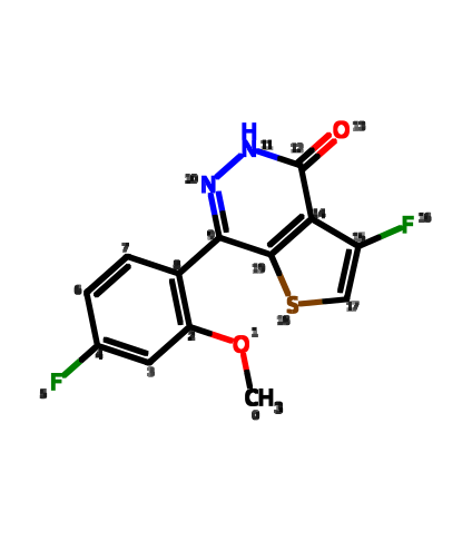 COc1cc(F)ccc1-c1n[nH]c(=O)c2c(F)csc12